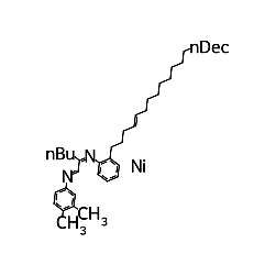 CCCCCCCCCCCCCCCCCCC=CCCCc1ccccc1N=C(C=Nc1ccc(C)c(C)c1)CCCC.[Ni]